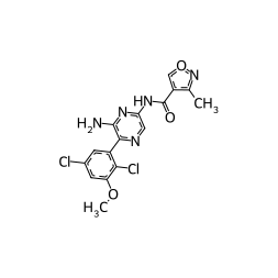 COc1cc(Cl)cc(-c2ncc(NC(=O)c3conc3C)nc2N)c1Cl